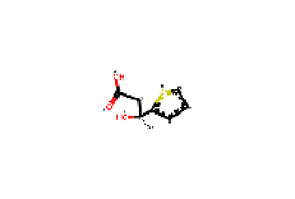 C[C@](O)(CC(=O)O)c1cccs1